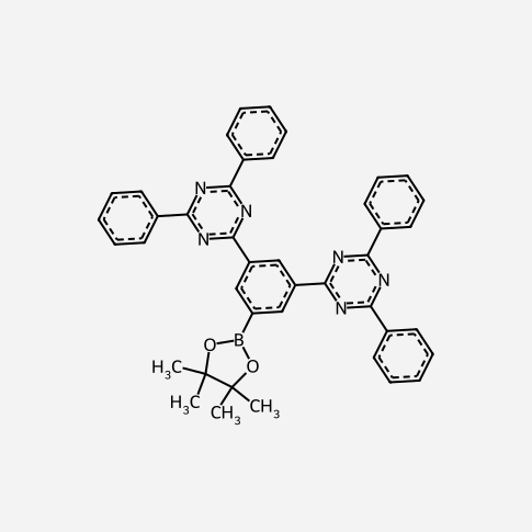 CC1(C)OB(c2cc(-c3nc(-c4ccccc4)nc(-c4ccccc4)n3)cc(-c3nc(-c4ccccc4)nc(-c4ccccc4)n3)c2)OC1(C)C